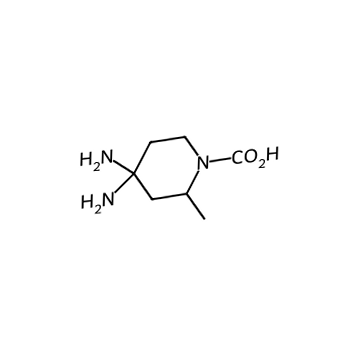 CC1CC(N)(N)CCN1C(=O)O